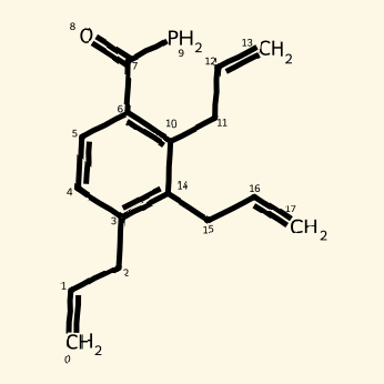 C=CCc1ccc(C(=O)P)c(CC=C)c1CC=C